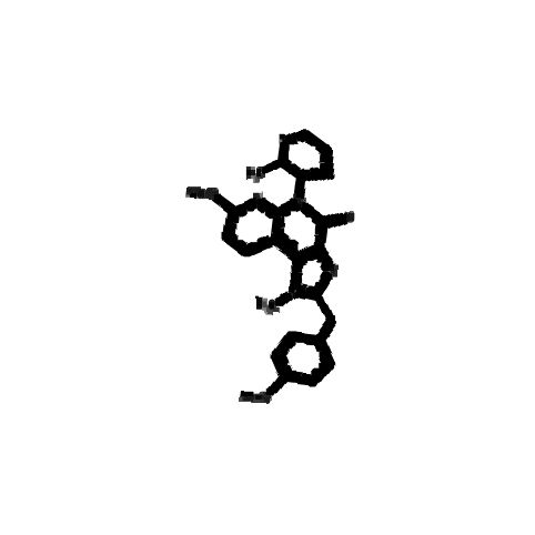 COc1ccc(Cc2nc3c(=O)n(-c4cccnc4C)c4nc(OC)ccc4c3n2C)cc1